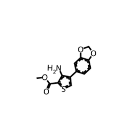 COC(=O)c1scc(-c2ccc3c(c2)OCO3)c1N